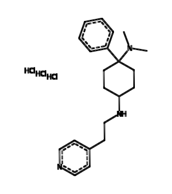 CN(C)C1(c2ccccc2)CCC(NCCc2ccncc2)CC1.Cl.Cl.Cl